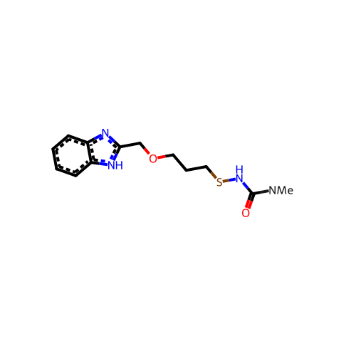 CNC(=O)NSCCCOCc1nc2ccccc2[nH]1